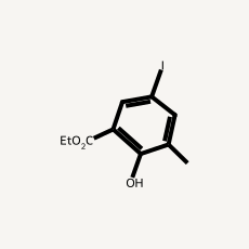 CCOC(=O)c1cc(I)cc(C)c1O